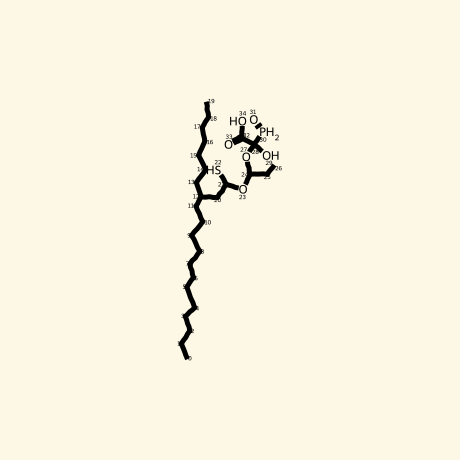 CCCCCCCCCCCCC(CCCCCCC)CC(S)OC(CC)OC(O)([PH2]=O)C(=O)O